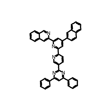 c1ccc(-c2cc(-c3ccccc3)nc(-c3ccc(-c4cc(-c5ccc6ccccc6c5)cc(-c5cc6ccccc6cn5)n4)nc3)n2)cc1